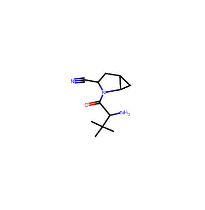 CC(C)(C)C(N)C(=O)N1C(C#N)CC2CC21